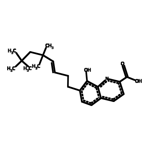 CC(C)(C)CC(C)(C)C=CCCc1ccc2ccc(C(=O)O)nc2c1O